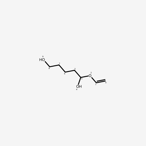 C=COC(O)CCCCO